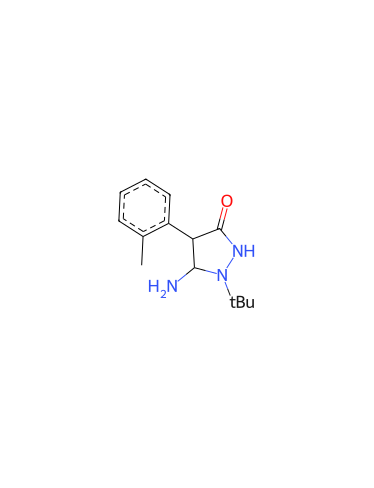 Cc1ccccc1C1C(=O)NN(C(C)(C)C)C1N